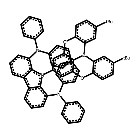 CC(C)(C)c1ccc2c(c1)B1c3cc(C(C)(C)C)ccc3Oc3cc(-n4c5c(N(c6ccccc6)c6ccccc6)cccc5c5cccc(N(c6ccccc6)c6ccccc6)c54)cc(c31)O2